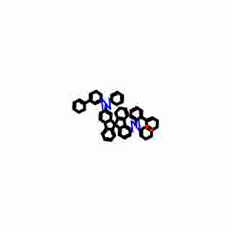 C1=CCCC(C2=CCCC(N(C3=CC4C(C=C3)c3ccccc3C43C4=C(C=CCC4)c4c(N(C5=CCCC=C5)c5ccccc5C5=CCCC=C5)cccc43)C3C=CC=CC3)=C2)=C1